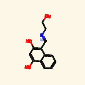 OCC/N=C/c1c(O)cc(O)c2ccccc12